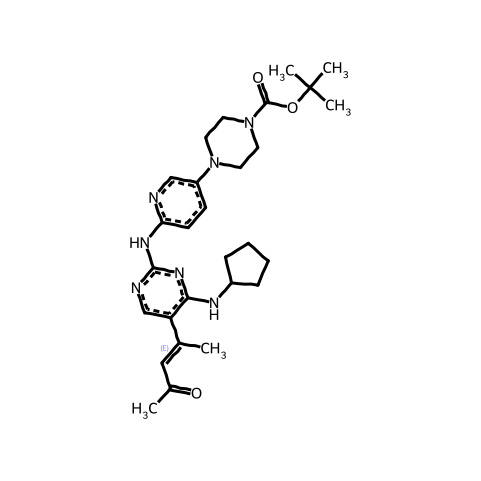 CC(=O)/C=C(\C)c1cnc(Nc2ccc(N3CCN(C(=O)OC(C)(C)C)CC3)cn2)nc1NC1CCCC1